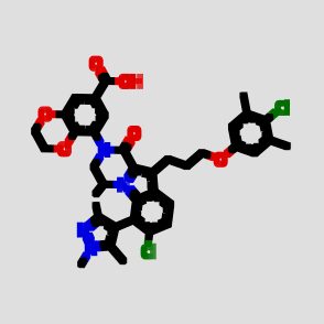 Cc1cc(OCCCc2c3n(c4c(-c5c(C)nn(C)c5C)c(Cl)ccc24)C(C)CN(c2cc(C(=O)O)cc4c2OCCO4)C3=O)cc(C)c1Cl